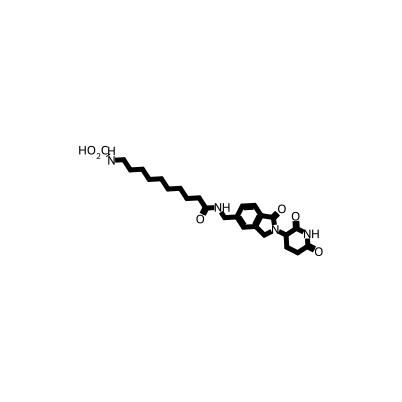 O=C(O)NCCCCCCCCCC(=O)NCc1ccc2c(c1)CN(C1CCC(=O)NC1=O)C2=O